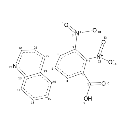 O=C(O)c1cccc([N+](=O)[O-])c1[N+](=O)[O-].c1ccc2ncccc2c1